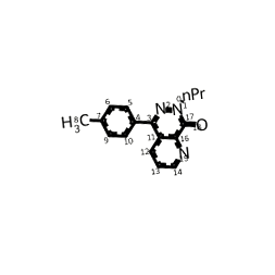 CCCn1nc(-c2ccc(C)cc2)c2cccnc2c1=O